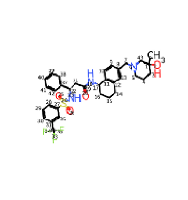 CC1(O)CCCN(Cc2ccc3c(c2)CCC[C@H]3NC(=O)C[C@@H](NS(=O)(=O)c2cccc(C(F)(F)F)c2)c2ccccc2)C1